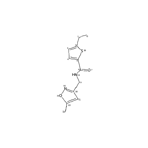 CCc1ccc(C(=O)NCc2cc(C)on2)s1